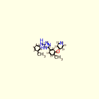 Cc1cccc(Nc2nnc(-c3ccc(C)c(Oc4ccncc4)c3)[nH]2)c1